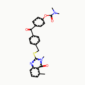 Cc1cccc2nc(SCc3ccc(C(=O)c4ccc(OC(=O)N(C)C)cc4)cc3)n(C)c(=O)c12